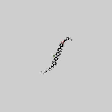 CCCCCCCCC1CCC(c2ccc(C3CCC(C4CCC(c5ccc(OCCCC)cc5)CC4)CC3)c(F)c2)CC1